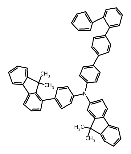 CC1(C)c2ccccc2-c2ccc(N(c3ccc(-c4ccc(-c5ccccc5-c5ccccc5)cc4)cc3)c3ccc(-c4cccc5c4C(C)(C)c4ccccc4-5)cc3)cc21